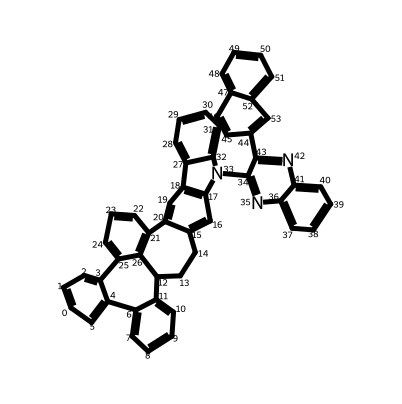 c1ccc2c(c1)-c1ccccc1C1CCc3cc4c(cc3-c3cccc-2c31)c1ccccc1n4-c1nc2ccccc2nc1-c1ccc2ccccc2c1